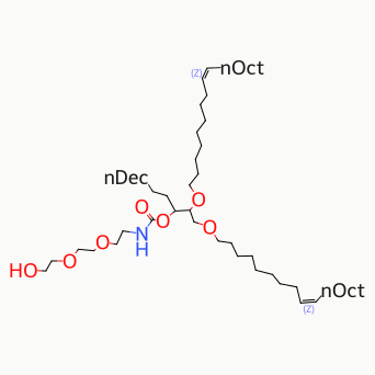 CCCCCCCC/C=C\CCCCCCCCOCC(OCCCCCCCC/C=C\CCCCCCCC)C(CCCCCCCCCCCC)OC(=O)NCCOCCOCCO